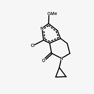 COc1cc2c(c(Cl)n1)C(=O)N(C1CC1)CC2